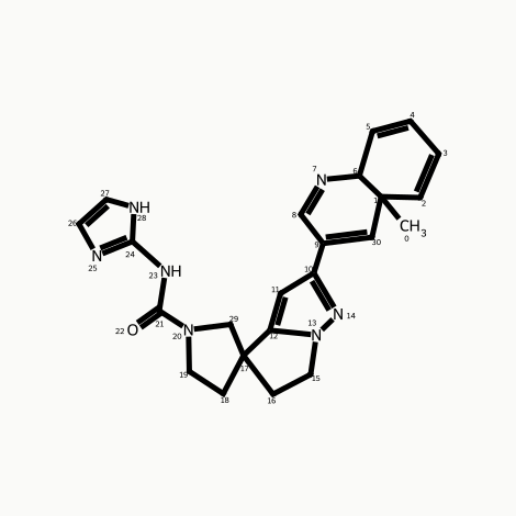 CC12C=CC=CC1N=CC(c1cc3n(n1)CCC31CCN(C(=O)Nc3ncc[nH]3)C1)=C2